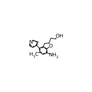 Cc1cc(N)c2c(c1-c1ccncc1)CC(CCO)O2